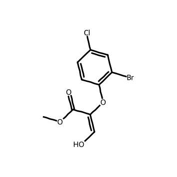 COC(=O)C(=CO)Oc1ccc(Cl)cc1Br